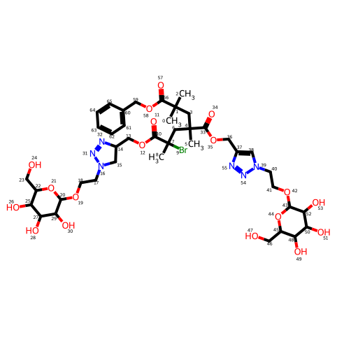 CC(C)(CC(C)(CC(C)(Br)C(=O)OCC1CN(CCOC2OC(CO)C(O)C(O)C2O)N=N1)C(=O)OCc1cn(CCOC2OC(CO)C(O)C(O)C2O)nn1)C(=O)OCc1ccccc1